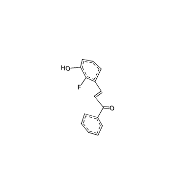 O=C(C=Cc1cccc(O)c1F)c1ccccc1